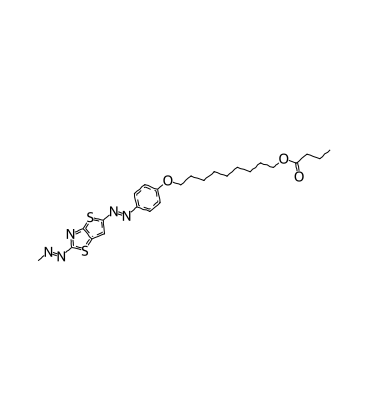 CCCC(=O)OCCCCCCCCCOc1ccc(N=Nc2cc3sc(N=NC)nc3s2)cc1